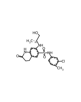 Cc1ccc(NS(=O)(=O)c2cc3c(cc2N[C@H](C)CO)NC(=O)CC3)cc1Cl